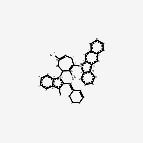 Cc1c(/C=C2/C=CCCC2)n(C2CC(C#N)=CCC(n3c4ccccc4c4cc5ccccc5cc43)=C2C#N)c2ccccc12